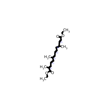 CCOC(=O)/C=C/C(C)=C/C=C/C=C(C)/C=C/C=C(\C)C(=O)OCC